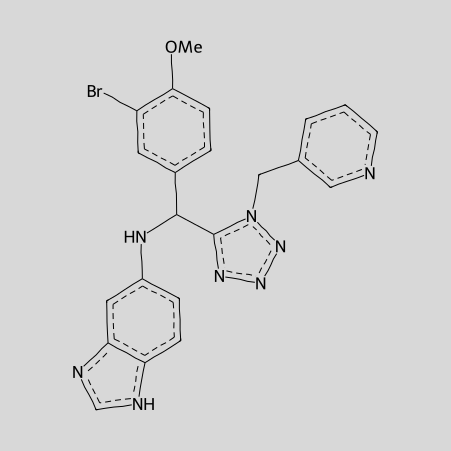 COc1ccc(C(Nc2ccc3[nH]cnc3c2)c2nnnn2Cc2cccnc2)cc1Br